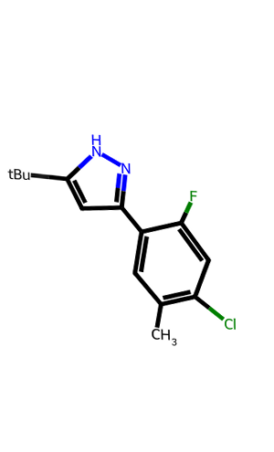 Cc1cc(-c2cc(C(C)(C)C)[nH]n2)c(F)cc1Cl